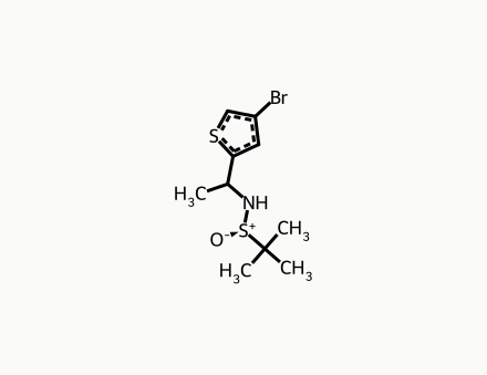 CC(N[S@+]([O-])C(C)(C)C)c1cc(Br)cs1